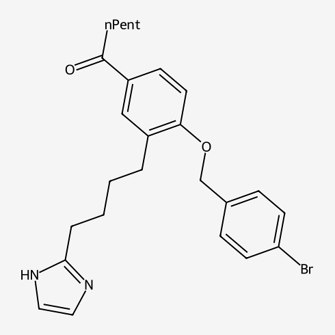 CCCCCC(=O)c1ccc(OCc2ccc(Br)cc2)c(CCCCc2ncc[nH]2)c1